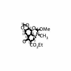 CCOC(=O)c1cn(N(C)C(=O)OC)c2cc3c(cc2c1=O)OCO3